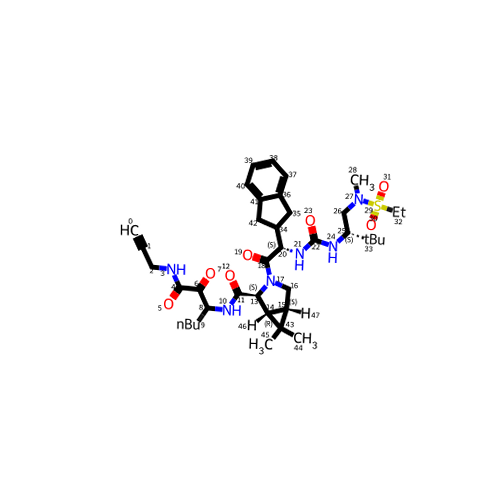 C#CCNC(=O)C(=O)C(CCCC)NC(=O)[C@@H]1[C@@H]2[C@H](CN1C(=O)[C@@H](NC(=O)N[C@H](CN(C)S(=O)(=O)CC)C(C)(C)C)C1Cc3ccccc3C1)C2(C)C